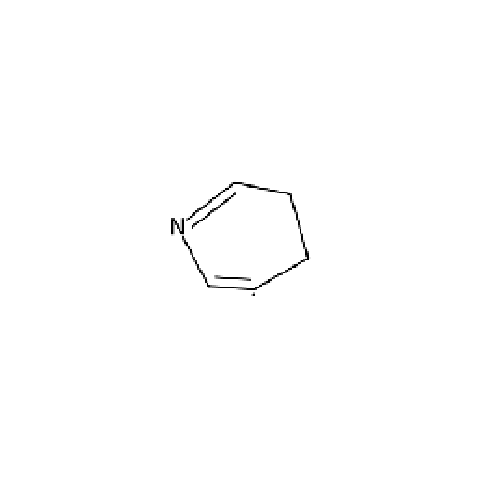 [C]1=CN=CCC1